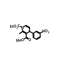 CCOC(=O)N1C=CC(c2cccc([N+](=O)[O-])c2)C(C(=O)OC)=C1C